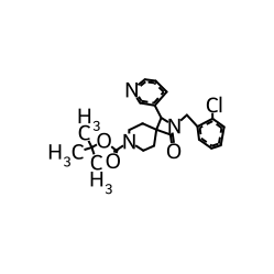 CC(C)(C)OC(=O)N1CCC2(CC1)C(=O)N(Cc1ccccc1Cl)C2c1cccnc1